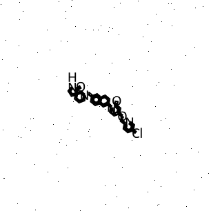 O=C1NCCC12CCCN(Cc1ccc3c(c1)CCC(n1ccc(OCc4ccc(Cl)cn4)cc1=O)=C3)C2